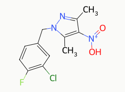 Cc1nn(Cc2ccc(F)c(Cl)c2)c(C)c1[N+](=O)O